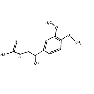 COc1ccc(C(O)CNC(=S)S)cc1OC